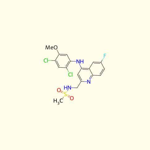 COc1cc(Nc2cc(CNS(C)(=O)=O)nc3ccc(F)cc23)c(Cl)cc1Cl